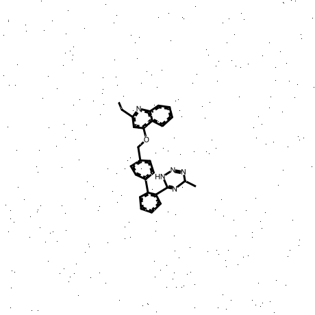 CCc1cc(OCc2ccc(-c3ccccc3C3=NC(C)N=NN3)cc2)c2ccccc2n1